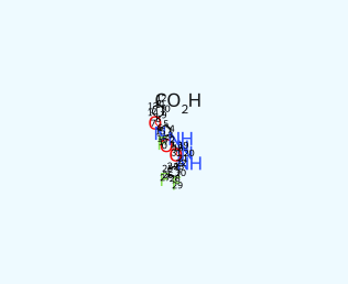 O=C(Nc1ccc(OC2CCC(C(=O)O)CC2)nc1F)c1nnc(Nc2ccc(F)c(F)c2)o1